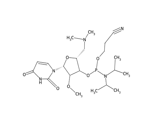 COC1C(OP(OCCC#N)N(C(C)C)C(C)C)[C@@H](CN(C)C)O[C@H]1n1ccc(=O)[nH]c1=O